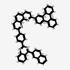 c1ccc2cc(-c3nc(-c4ccc(-c5ccc6ccc7ccc(-c8ccc9c%10ccccc%10c%10ccccc%10c9c8)nc7c6n5)cc4)nc4ccccc34)ccc2c1